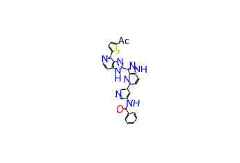 CC(=O)c1ccc(-c2nccc3[nH]c(-c4n[nH]c5ccc(-c6cncc(NC(=O)c7ccccc7)c6)nc45)nc23)s1